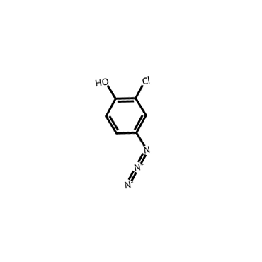 [N-]=[N+]=Nc1ccc(O)c(Cl)c1